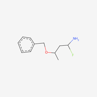 CC(CC(N)F)OCc1ccccc1